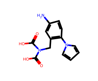 Nc1ccc(-n2cccc2)c(CN(C(=O)O)C(=O)O)c1